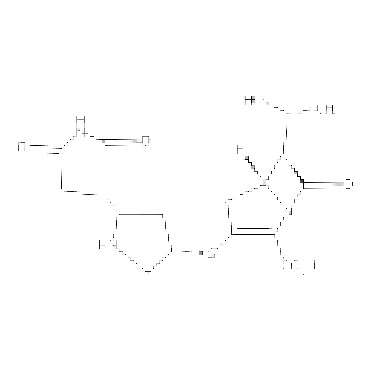 C[C@@H](O)[C@H]1C(=O)N2C(C(=O)O)=C(S[C@@H]3CN[C@H](C4CC(=O)NC4=O)C3)C[C@H]12